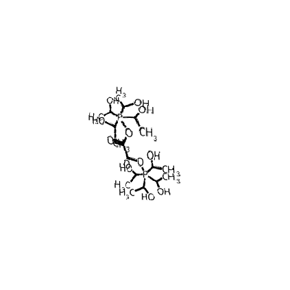 CC(O)P(OC(=O)C(=O)OP(C(C)O)(C(C)O)(C(C)O)C(C)O)(C(C)O)(C(C)O)C(C)O